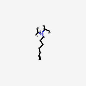 C=C[CH]CCCCN(C(C)C)C(C)C